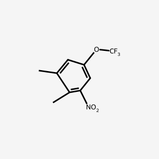 Cc1cc(OC(F)(F)F)cc([N+](=O)[O-])c1C